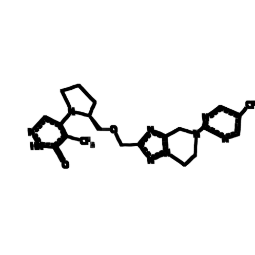 O=c1[nH]ncc(N2CCC[C@H]2COCc2nc3n(n2)CCN(c2ncc(C(F)(F)F)cn2)C3)c1C(F)(F)F